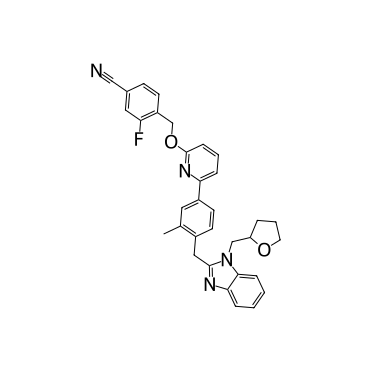 Cc1cc(-c2cccc(OCc3ccc(C#N)cc3F)n2)ccc1Cc1nc2ccccc2n1CC1CCCO1